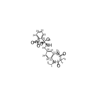 CCN1C(=O)C(C)(C)C(=O)N(C)c2cc(CNS(=O)(=O)c3ccccc3[N+](=O)[O-])ccc21